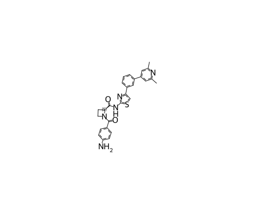 Cc1cc(-c2cccc(-c3csc(NC(=O)[C@@H]4CCN4C(=O)c4ccc(N)cc4)n3)c2)cc(C)n1